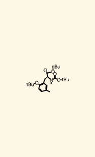 CCCCOC(=O)[C@H](Cc1cc(C)ccc1OCCCC)N(C)C(=O)OC(C)(C)C